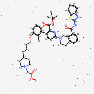 COC(=O)CN1CCC(CCCCOc2cccc(-c3ccc(N4CCc5cccc(C(=O)Nc6nc7ccccc7s6)c5C4)nc3C(=O)OC(C)(C)C)c2C)CC1